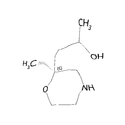 CC(O)C[C@@]1(C)CNCCO1